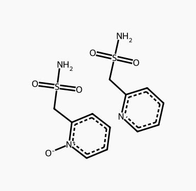 NS(=O)(=O)Cc1cccc[n+]1[O-].NS(=O)(=O)Cc1ccccn1